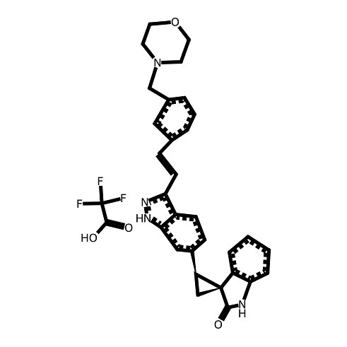 O=C(O)C(F)(F)F.O=C1Nc2ccccc2[C@]12C[C@H]2c1ccc2c(/C=C/c3cccc(CN4CCOCC4)c3)n[nH]c2c1